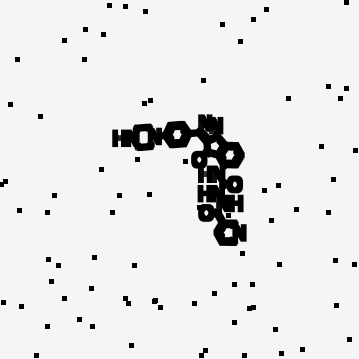 O=C(NNC(=O)c1cccnc1)Nc1cccc2c1C(=O)C1=C(c3ccc(N4CCNCC4)cc3)N=NC12